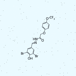 O=C(COc1ccc(OC(F)(F)F)cc1)NN=Cc1cc(Br)c(O)c(Br)c1